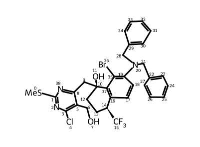 CSc1nc(Cl)c(CO)c(C[C@@]2(O)CC[C@H](C(F)(F)F)c3ccc(N(Cc4ccccc4)Cc4ccccc4)c(Br)c32)n1